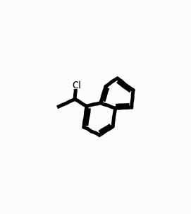 CC(Cl)c1cccc2ccccc12